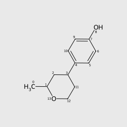 CC1CC(c2ccc(O)cc2)CCO1